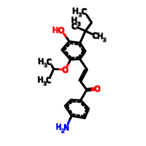 CCC(C)(C)c1cc(C=CC(=O)c2ccc(N)cc2)c(OC(C)C)cc1O